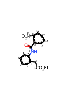 CCOC(=O)Cc1ccccc1NC(=O)c1ccccc1[N+](=O)[O-]